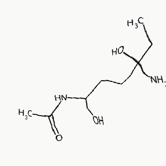 CCC(N)(O)CCC(O)NC(C)=O